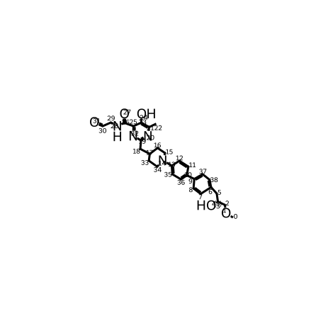 COC[C@@H](O)Cc1ccc(-c2ccc(N3CCC(Cc4nc(C)c(O)c(C(=O)NCC=O)n4)CC3)cc2)cc1